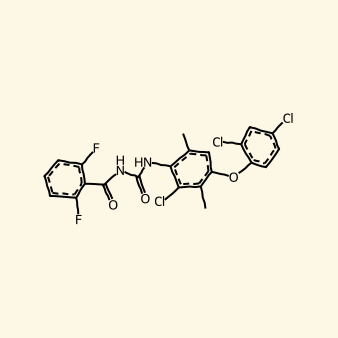 Cc1cc(Oc2ccc(Cl)cc2Cl)c(C)c(Cl)c1NC(=O)NC(=O)c1c(F)cccc1F